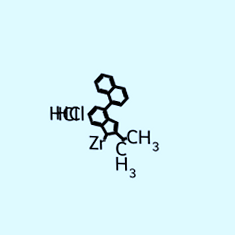 CC(C)C1=Cc2c(-c3cccc4ccccc34)cccc2[CH]1[Zr].Cl.Cl